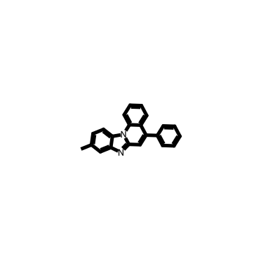 Cc1ccc2c(c1)nc1cc(-c3ccccc3)c3ccccc3n12